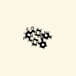 N#Cc1ccccc1N1CCN(Cc2nc(C(=O)N3CCN(c4ccc(F)cn4)CC3)c(F)cc2F)CC1